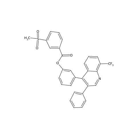 CS(=O)(=O)c1cccc(C(=O)Oc2cccc(-c3c(-c4ccccc4)cnc4c(C(F)(F)F)cccc34)c2)c1